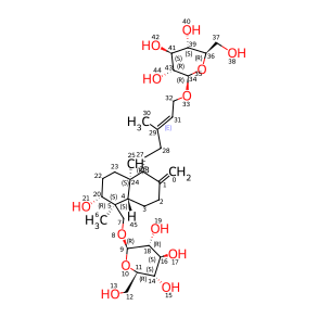 C=C1CC[C@@H]2[C@@](C)(CO[C@@H]3O[C@H](CO)[C@@H](O)[C@H](O)[C@H]3O)[C@H](O)CC[C@@]2(C)[C@@H]1CC/C(C)=C/CO[C@@H]1O[C@H](CO)[C@@H](O)[C@H](O)[C@H]1O